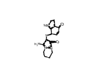 Nc1c(/N=C2\C=CC(=O)c3cc[nH]c32)c(=O)n2n1CCCC2